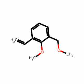 C=Cc1cccc(COC)c1OC